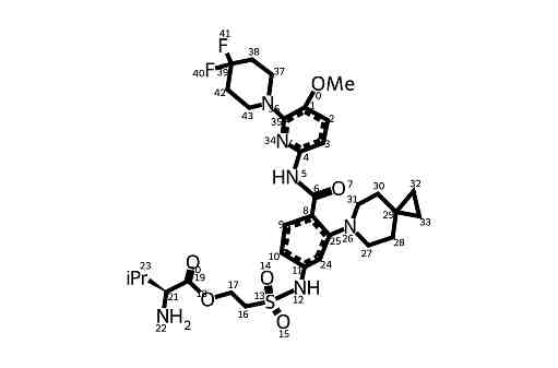 COc1ccc(NC(=O)c2ccc(NS(=O)(=O)CCOC(=O)[C@@H](N)C(C)C)cc2N2CCC3(CC2)CC3)nc1N1CCC(F)(F)CC1